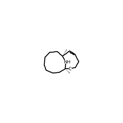 C[C@]12CCC/C=C\[C@](C)(CCCCCCC1)N2